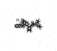 CC(C)(C)OC[C@@H](NC(=O)OC(C)(C)C)C(=O)OCc1cc(F)c(F)cc1-c1ccc2nc(N)nc(C(=O)N3Cc4ccccc4C3)c2c1